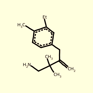 C=C(Cc1ccc(C)c(CC)c1)C(C)(C)CN